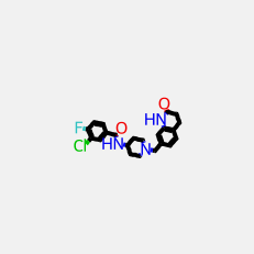 O=C1CCc2ccc(CN3CCC(NC(=O)c4ccc(F)c(Cl)c4)CC3)cc2N1